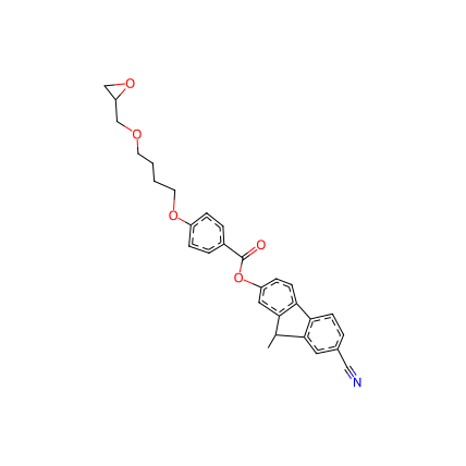 CC1c2cc(C#N)ccc2-c2ccc(OC(=O)c3ccc(OCCCCOCC4CO4)cc3)cc21